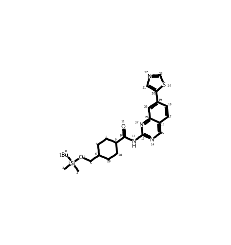 CC(C)(C)[Si](C)(C)OCC1CCC(C(=O)Nc2ncc3ccc(-c4cncs4)cc3n2)CC1